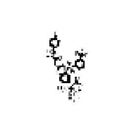 CC(C)(C)N(C(=O)O)c1ccc2c(c1)N(S(=O)(=O)c1cccc(C(F)(F)F)c1)C[C@H](CC(=O)NS(=O)(=O)c1ccc(F)cc1)O2